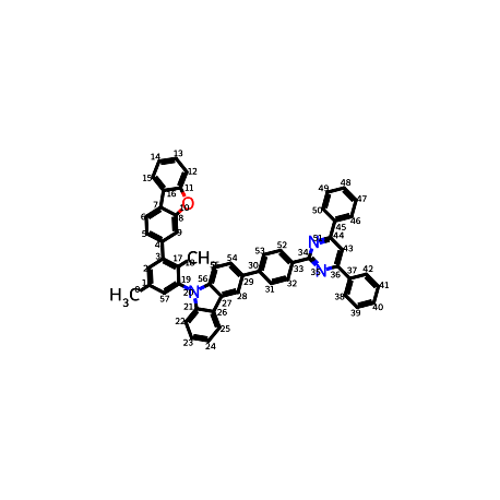 Cc1cc(-c2ccc3c(c2)oc2ccccc23)c(C)c(-n2c3ccccc3c3cc(-c4ccc(-c5nc(-c6ccccc6)cc(-c6ccccc6)n5)cc4)ccc32)c1